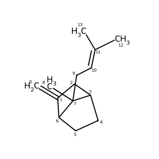 C=C1CC2CCC1C2(C)CC=C(C)C